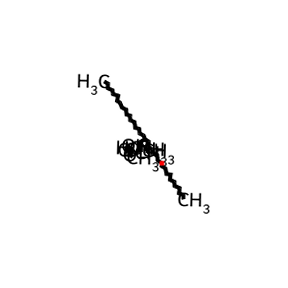 CCCCCCCCCCCCCCCCCCC(CCCCCCCCCCCCCCCCCC)CC(C)(O)NC.COS(=O)(=O)O